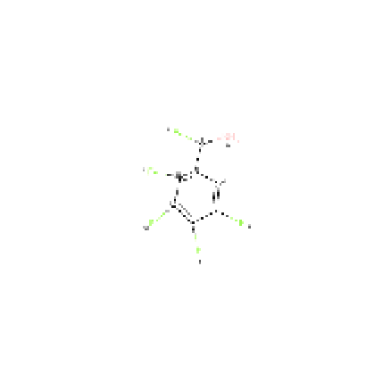 BC(F)c1cc(F)c(F)c(F)c1F